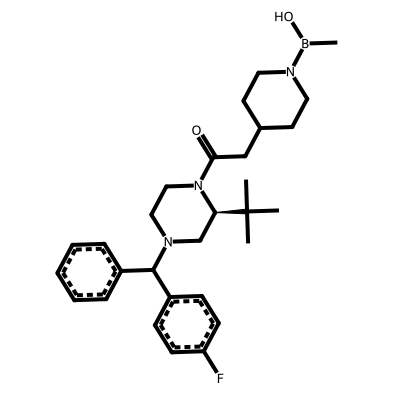 CB(O)N1CCC(CC(=O)N2CCN(C(c3ccccc3)c3ccc(F)cc3)C[C@@H]2C(C)(C)C)CC1